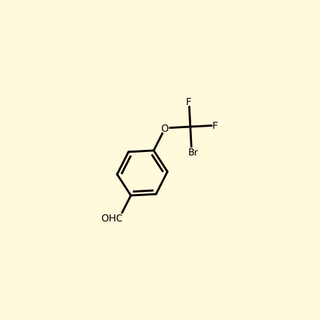 O=Cc1ccc(OC(F)(F)Br)cc1